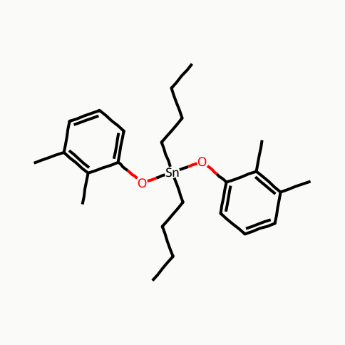 CCC[CH2][Sn]([CH2]CCC)([O]c1cccc(C)c1C)[O]c1cccc(C)c1C